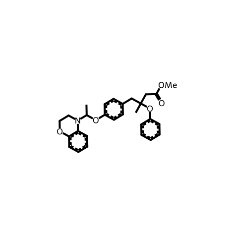 COC(=O)CC(C)(Cc1ccc(OC(C)N2CCOc3ccccc32)cc1)Oc1ccccc1